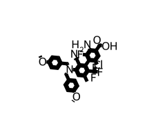 COc1ccc(CN(Cc2ccc(OC)cc2)c2cc(C)c(C(F)(F)F)c(-c3c(Cl)cc(C(=O)O)c(N)c3F)c2C#N)cc1